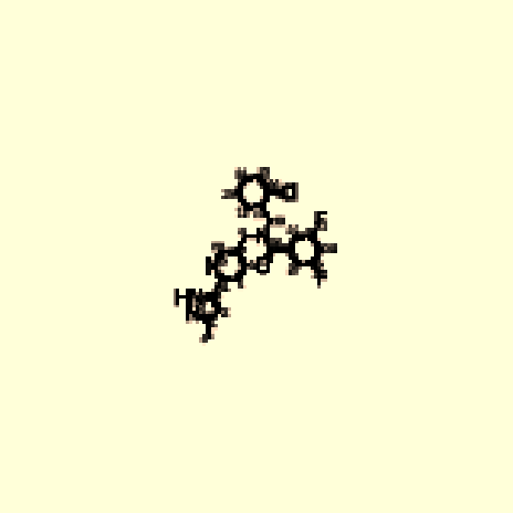 Cc1cc(-c2ccc(CN(Cc3ccccc3Cl)C(=O)c3cc(F)cc(F)c3)cn2)[nH]n1